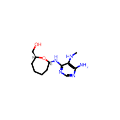 CNc1c(N)ncnc1N[C@H]1CCCC[C@@H](CO)O1